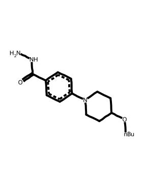 CCCCOC1CCN(c2ccc(C(=O)NN)cc2)CC1